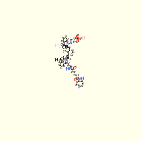 CC1(C)C(/C=C/C2=C(Cl)C(=C/C=C3/N(CCCNC(=O)CCCCC(=O)NC4CC/C=C/CCC4)c4ccccc4C3(C)C)/CCC2)=[N+](CCCCS(=O)(=O)O)c2ccccc21